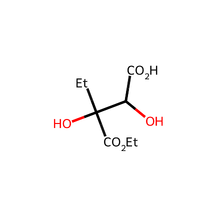 CCOC(=O)C(O)(CC)C(O)C(=O)O